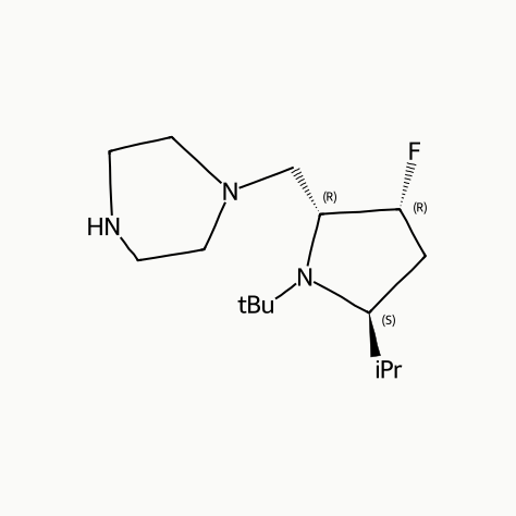 CC(C)[C@@H]1C[C@@H](F)[C@@H](CN2CCNCC2)N1C(C)(C)C